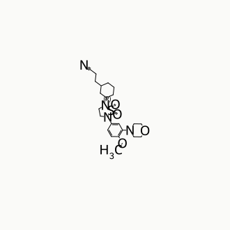 COc1ccc(N2CCN([C@@H]3CCCC(CCC#N)C3)S2(=O)=O)cc1N1CCOCC1